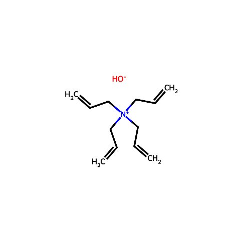 C=CC[N+](CC=C)(CC=C)CC=C.[OH-]